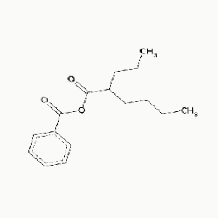 CCCCC(CCC)C(=O)OC(=O)c1ccccc1